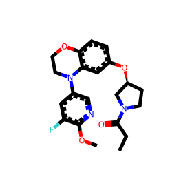 CCC(=O)N1CC[C@H](Oc2ccc3c(c2)N(c2cnc(OC)c(F)c2)CCO3)C1